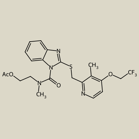 CC(=O)OCCN(C)C(=O)n1c(SCc2nccc(OCC(F)(F)F)c2C)nc2ccccc21